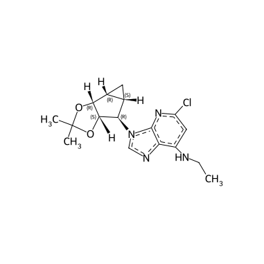 CCNc1cc(Cl)nc2c1ncn2[C@@H]1[C@H]2C[C@H]2[C@H]2OC(C)(C)O[C@H]21